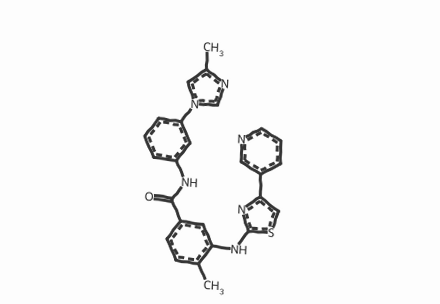 Cc1cn(-c2cccc(NC(=O)c3ccc(C)c(Nc4nc(-c5cccnc5)cs4)c3)c2)cn1